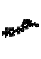 O=CNc1c[nH]c2ccc(O[C@H]3C[C@@H](c4ccc(C(F)(F)F)cc4)C3)cc12